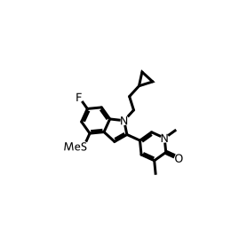 CSc1cc(F)cc2c1cc(-c1cc(C)c(=O)n(C)c1)n2CCC1CC1